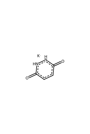 O=c1ccc(=O)[nH][nH]1.[K]